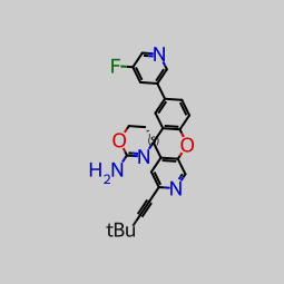 CC(C)(C)C#Cc1cc2c(cn1)Oc1ccc(-c3cncc(F)c3)cc1[C@@]21CCOC(N)=N1